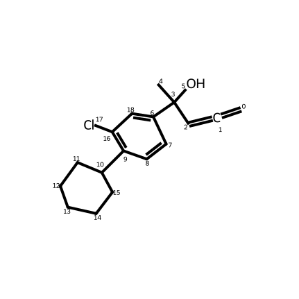 C=C=CC(C)(O)c1ccc(C2CCCCC2)c(Cl)c1